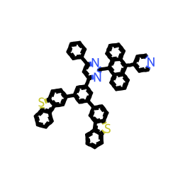 c1ccc(-c2cc(-c3cc(-c4ccc5sc6ccccc6c5c4)cc(-c4ccc5sc6ccccc6c5c4)c3)nc(-c3c4ccccc4c(-c4ccncc4)c4ccccc34)n2)cc1